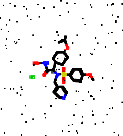 COc1ccc(S(=O)(=O)N(Cc2ccncc2)[C@@H](C(=O)NO)[C@H]2CC[C@H](OC(C)C)CC2)cc1.Cl